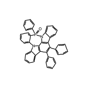 O=P1(c2ccccc2)c2ccccc2-n2c3ccccc3c3c(-c4ccccc4)c(-c4ccccc4)c4c5ccccc5n1c4c32